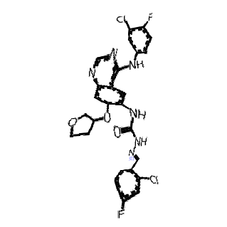 O=C(N/N=C/c1ccc(F)cc1Cl)Nc1cc2c(Nc3ccc(F)c(Cl)c3)ncnc2cc1OC1CCOC1